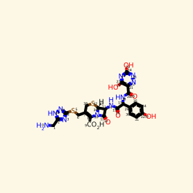 NCc1nc(SCC2=C(C(=O)O)N3C(=O)C(NC(=O)C(NC(=O)c4nnc(O)nc4O)c4ccc(O)cc4)[C@@H]3SC2)n[nH]1